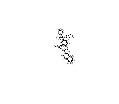 CCOc1cc(C(CC)(OC)c2nccs2)ccc1OCc1ccc2ccccc2c1